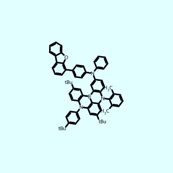 Cc1cccc(C)c1N1c2ccc(N(c3ccccc3)c3ccc(-c4cccc5c4oc4ccccc45)cc3)cc2B2c3cc(C(C)(C)C)ccc3N(c3ccc(C(C)(C)C)cc3)c3cc(C(C)(C)C)cc1c32